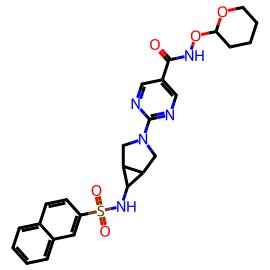 O=C(NOC1CCCCO1)c1cnc(N2CC3C(C2)C3NS(=O)(=O)c2ccc3ccccc3c2)nc1